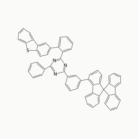 c1ccc(-c2nc(-c3cccc(-c4cccc5c4-c4ccccc4C54c5ccccc5-c5ccccc54)c3)nc(-c3ccccc3-c3ccc4sc5ccccc5c4c3)n2)cc1